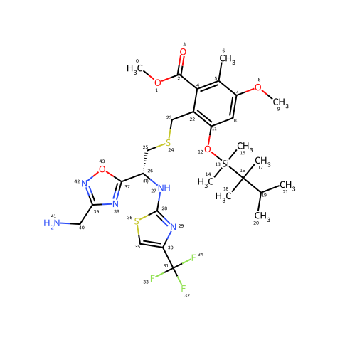 COC(=O)c1c(C)c(OC)cc(O[Si](C)(C)C(C)(C)C(C)C)c1CSC[C@H](Nc1nc(C(F)(F)F)cs1)c1nc(CN)no1